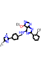 CCOc1ncnc2nc(-c3ccccc3C(F)(F)F)nc(NCc3ccc(-c4nc(C(F)(F)F)cn4C)cc3)c12